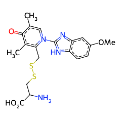 COc1ccc2[nH]c(-n3cc(C)c(=O)c(C)c3CSSCC(N)C(=O)O)nc2c1